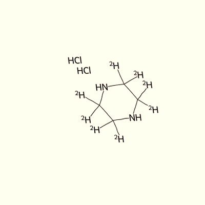 Cl.Cl.[2H]C1([2H])NC([2H])([2H])C([2H])([2H])NC1([2H])[2H]